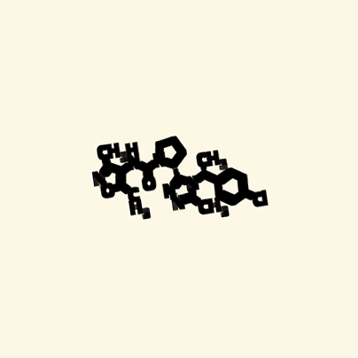 Cc1noc(C)c1NC(=O)N1CCC[C@@H]1c1nnc(C)n1[C@H](C)c1ccc(Cl)cc1